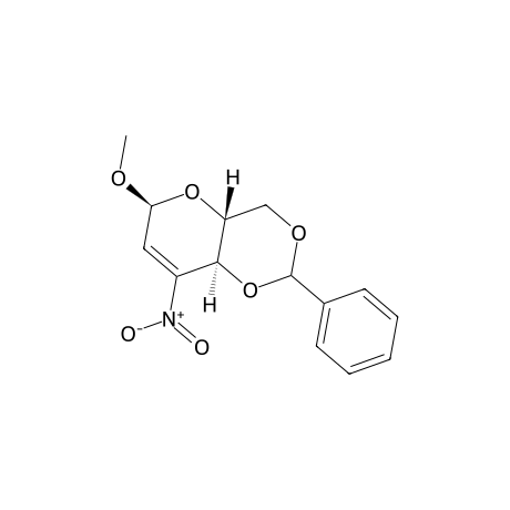 CO[C@@H]1C=C([N+](=O)[O-])[C@@H]2OC(c3ccccc3)OC[C@H]2O1